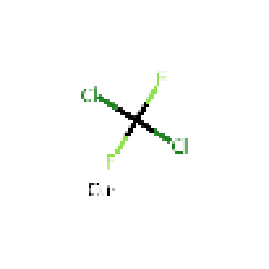 FC(F)(Cl)Cl.[Cu]